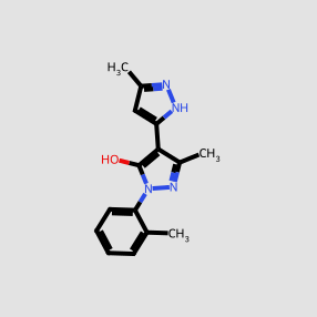 Cc1cc(-c2c(C)nn(-c3ccccc3C)c2O)[nH]n1